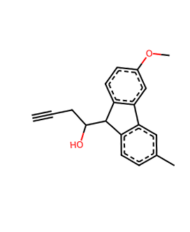 C#CCC(O)C1c2ccc(C)cc2-c2cc(OC)ccc21